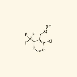 CSOCc1c(Cl)cccc1C(F)(F)F